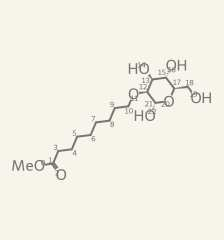 COC(=O)CCCCCCCCO[C@H]1[C@@H](O)[C@H](O)[C@@H](CO)O[C@@H]1O